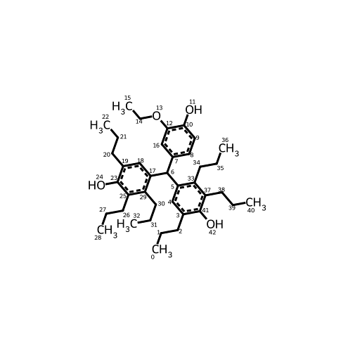 CCCc1cc(C(c2ccc(O)c(OCC)c2)c2cc(CCC)c(O)c(CCC)c2CCC)c(CCC)c(CCC)c1O